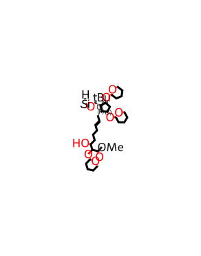 COC(=O)C(OC1CCCCO1)C(O)CCCC=CC[C@@H]1[C@H](C(O[SiH](C)C)C(C)(C)C)[C@H](OC2CCCCO2)C[C@@H]1OC1CCCCO1